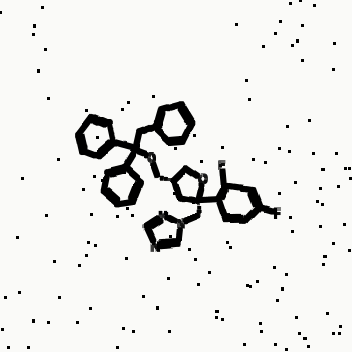 Fc1ccc([C@@]2(Cn3cncn3)C[C@H](COC(Cc3ccccc3)(c3ccccc3)c3ccccc3)CO2)c(F)c1